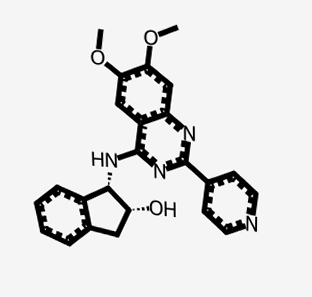 COc1cc2nc(-c3ccncc3)nc(N[C@H]3c4ccccc4C[C@H]3O)c2cc1OC